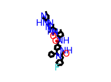 Cc1ccc(Nc2ncc3c(n2)N(C)C(=O)N(c2cc(NC(=O)c4ccc5c(c4)NC(=O)C(Cc4ccc(F)cc4)N=C5c4ccccc4)ccc2C)C3)cn1